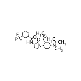 COC[C@H]1C[C@H](N(C)C(C)C)CC[C@@H]1N1CC[C@H](NC(=O)c2cccc(C(F)(F)F)c2)C1=O